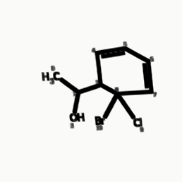 CC(O)C1C=CC=CC1(Cl)Br